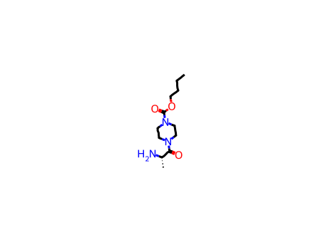 CCCCOC(=O)N1CCN(C(=O)[C@H](C)N)CC1